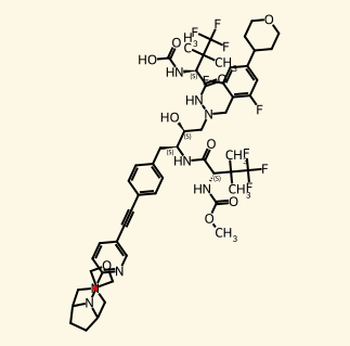 COC(=O)N[C@H](C(=O)N[C@@H](Cc1ccc(C#Cc2ccc(N3CC4CCC(C3)N4C3COC3)nc2)cc1)[C@@H](O)CN(Cc1c(F)cc(C2CCOCC2)cc1F)NC(=O)[C@@H](NC(=O)O)C(C)(C)C(F)(F)F)C(C)(C)C(F)(F)F